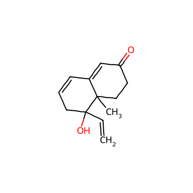 C=CC1(O)CC=CC2=CC(=O)CCC21C